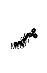 COC(=O)c1cc(-c2ccc(F)cc2F)ccc1NC(=O)COCC(=O)N1CCN(C(c2ccccc2)c2ccccc2)CC1